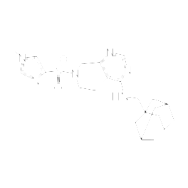 Cn1cnc(S(=O)(=O)N2CCc3c(ncnc3NCC34CC5CC(CC(C5)C3)C4)C2)c1